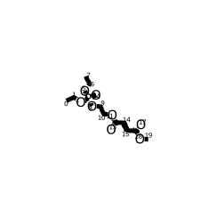 CCOP(=O)(OCC)OCCOC(=O)C=CC(=O)OC